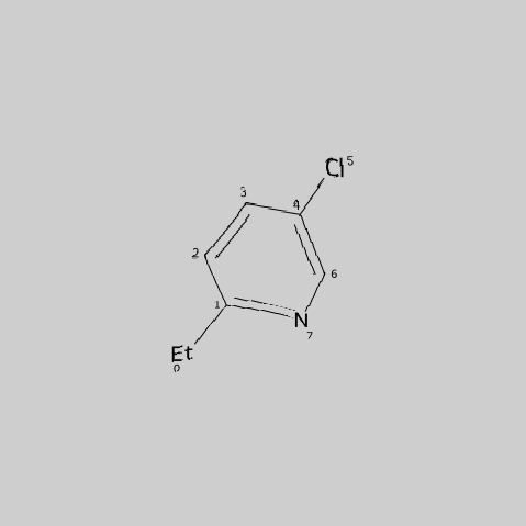 CCc1ccc(Cl)cn1